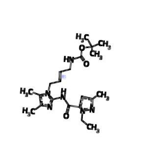 CCn1nc(C)cc1C(=O)Nc1nc(C)c(C)n1C/C=C/CNC(=O)OC(C)(C)C